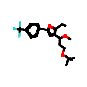 CCc1oc(-c2ccc(C(F)(F)F)cc2)cc1C(CCO[SiH](C)C)OC